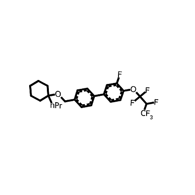 CCCC1(OCc2ccc(-c3ccc(OC(F)(F)C(F)C(F)(F)F)c(F)c3)cc2)CCCCC1